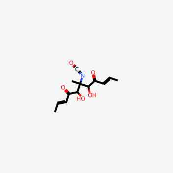 CC=CC(=O)C(O)C(C)(N=C=O)C(O)C(=O)C=CC